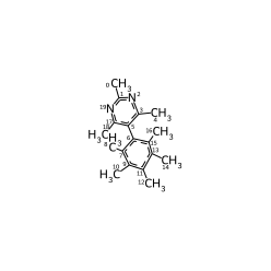 Cc1nc(C)c(-c2c(C)c(C)c(C)c(C)c2C)c(C)n1